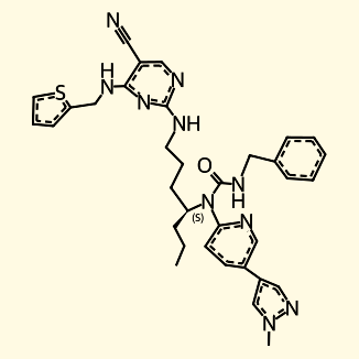 CCC[C@@H](CCCNc1ncc(C#N)c(NCc2cccs2)n1)N(C(=O)NCc1ccccc1)c1ccc(-c2cnn(C)c2)cn1